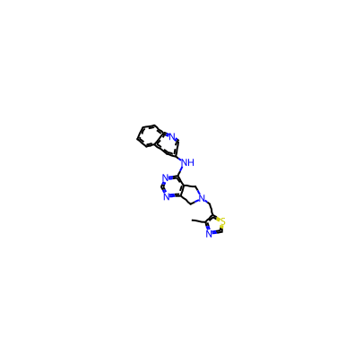 Cc1ncsc1CN1Cc2ncnc(Nc3cnc4ccccc4c3)c2C1